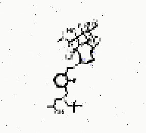 BC1(O)/C=C(OCc2cccc(CN(CC(C)O)CC(C)(C)C)c2F)/C=C\C=C(/C)C(=O)N1C(O)(C(=O)NC)C(B)(B)C(B)(B)C=O